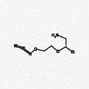 CCC(CN)OCCON=[N+]=[N-]